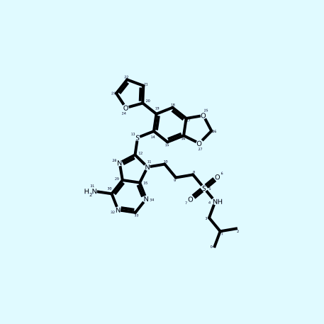 CC(C)CNS(=O)(=O)CCCn1c(Sc2cc3c(cc2-c2ccco2)OCO3)nc2c(N)ncnc21